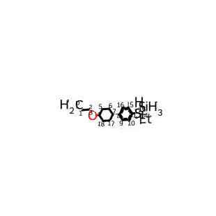 C=CCO[C@H]1CC[C@H](c2ccc([SiH]([SiH3])CC)cc2)CC1